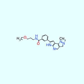 COCCCNC(=O)c1cccc(-c2cc3c(ncc4cnn(C)c43)[nH]2)c1